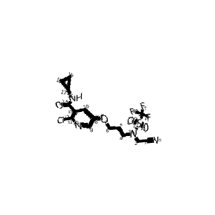 N#CCN(CCCOc1cnc(Cl)c(C(=O)NC2CC2)c1)S(=O)(=O)C(F)(F)F